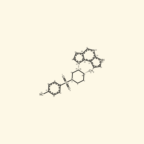 C[C@@H]1CCN(S(=O)(=O)c2ccc(C#N)cc2)C[C@@H]1n1ccc2cnc3[nH]ccc3c21